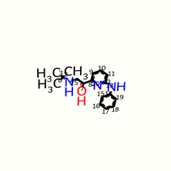 CC(C)(C)NCC(O)c1cccc(Nc2ccccc2)n1